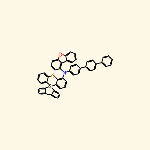 c1ccc(-c2ccc(-c3ccc(N(c4cccc5c4Sc4ccccc4[Si]54c5ccccc5-c5ccccc54)c4cccc5oc6ccccc6c45)cc3)cc2)cc1